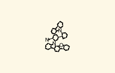 N#Cc1ccc(-c2ccccc2-n2c3ccccc3c3ccccc32)cc1-n1c2ccccc2c2ccc3c4ccccc4oc3c21